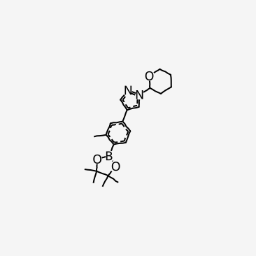 Cc1cc(-c2cnn(C3CCCCO3)c2)ccc1B1OC(C)(C)C(C)(C)O1